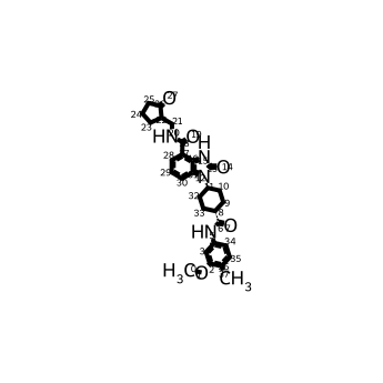 COc1cc(NC(=O)[C@H]2CC[C@@H](n3c(=O)[nH]c4c(C(=O)NCC5CCCC5=O)cccc43)CC2)ccc1C